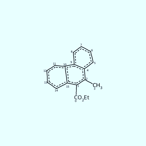 CCOC(=O)c1c(C)c2ccccc2c2ccccc12